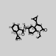 CCn1c(=O)cc(C2CC2)c2cc(N(C)C(=O)c3ccccc3C3CC3)ccc21